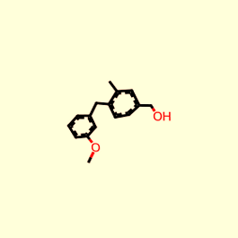 COc1cccc(Cc2ccc(CO)cc2C)c1